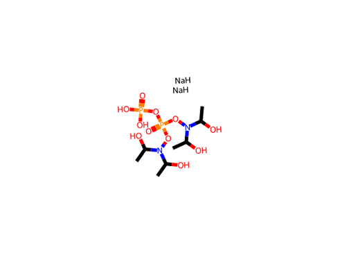 CC(O)N(OP(=O)(ON(C(C)O)C(C)O)OP(=O)(O)O)C(C)O.[NaH].[NaH]